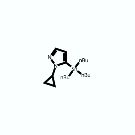 CCC[CH2][Sn]([CH2]CCC)([CH2]CCC)[c]1ccnn1C1CC1